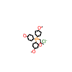 COc1ccc([P+](CC(C)=O)(c2ccc(OC)cc2)c2ccc(OC)cc2)cc1.[Cl-]